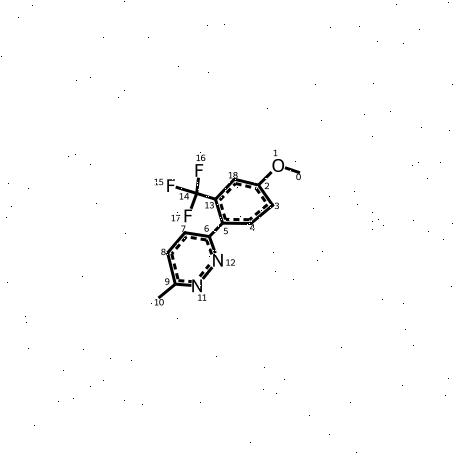 COc1ccc(-c2ccc(C)nn2)c(C(F)(F)F)c1